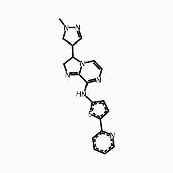 CN1CC(C2CN=C3C(Nc4ccc(-c5ccccn5)s4)=NC=CN32)C=N1